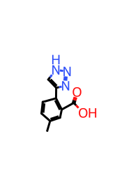 Cc1ccc(-c2c[nH]nn2)c(C(=O)O)c1